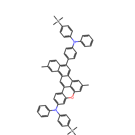 Cc1ccc2c(-c3ccc(N(c4ccccc4)c4ccc([Si](C)(C)C)cc4)cc3)cc3c4cc(C)cc5c4c(cc3c2c1)-c1ccc(N(c2ccccc2)c2ccc([Si](C)(C)C)cc2)cc1O5